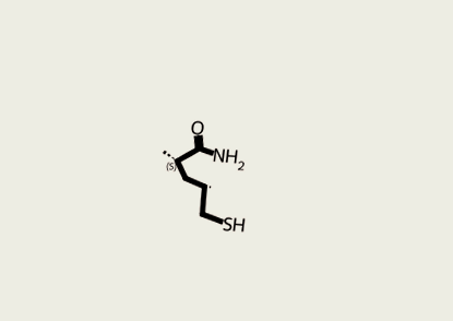 C[C@@H](C[CH]CS)C(N)=O